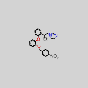 CCC(CN1C=NCC1)c1ccccc1Oc1ccccc1OCc1ccc([N+](=O)[O-])cc1